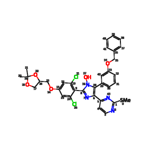 CSc1nccc(-c2nc(-c3c(Cl)cc(OCC4COC(C)(C)O4)cc3Cl)n(O)c2-c2cccc(OCc3ccccc3)c2)n1